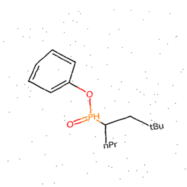 CCCC(CC(C)(C)C)[PH](=O)Oc1ccccc1